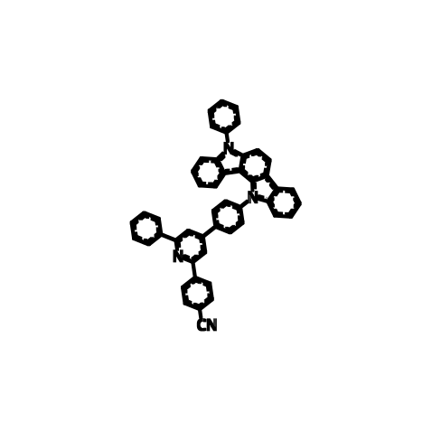 N#Cc1ccc(-c2cc(-c3ccc(-n4c5ccccc5c5ccc6c(c7ccccc7n6-c6ccccc6)c54)cc3)cc(-c3ccccc3)n2)cc1